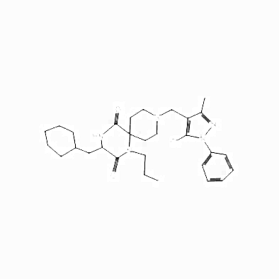 CCCN1C(=O)C(CC2CCCCC2)NC(=O)C12CCN(Cc1c(C)nn(-c3ccccc3)c1Cl)CC2